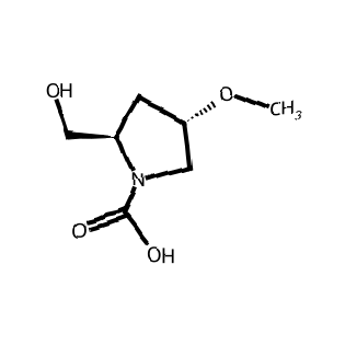 CO[C@H]1C[C@H](CO)N(C(=O)O)C1